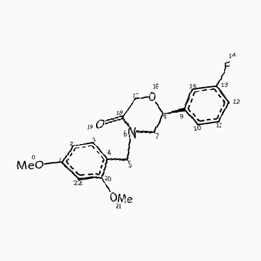 COc1ccc(CN2C[C@H](c3cccc(F)c3)OCC2=O)c(OC)c1